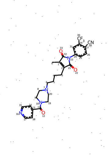 CC1=C(CCCCN2CCN(C(=O)c3ccncc3)CC2)C(=O)N(c2ccc(C#N)c(C(F)(F)F)c2)C1=O